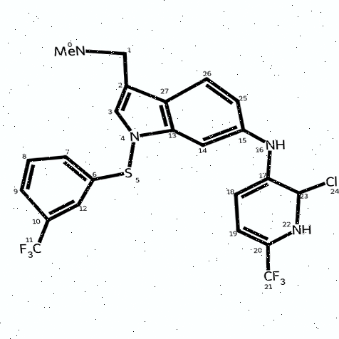 CNCc1cn(Sc2cccc(C(F)(F)F)c2)c2cc(NC3=CC=C(C(F)(F)F)NC3Cl)ccc12